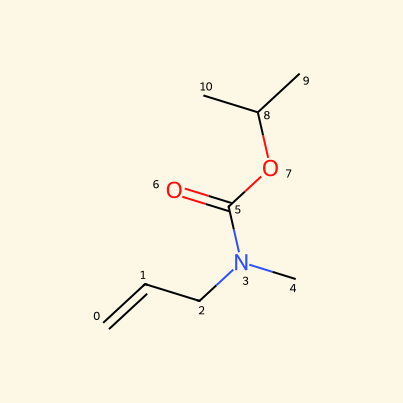 C=CCN(C)C(=O)OC(C)C